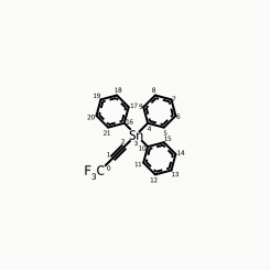 FC(F)(F)C#[C][Sn]([c]1ccccc1)([c]1ccccc1)[c]1ccccc1